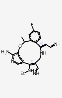 CCN/C1=C(\C=N)CN/C(=C\C=N)c2ccc(F)cc2C(C)Oc2cc1cnc2N